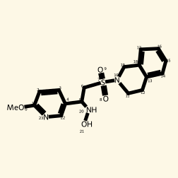 COc1ccc(C(CS(=O)(=O)N2CCc3ccccc3C2)NO)cn1